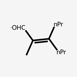 CCCC(CCC)=C(C)[C]=O